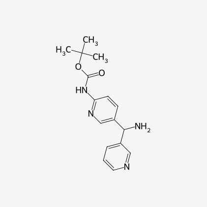 CC(C)(C)OC(=O)Nc1ccc(C(N)c2cccnc2)cn1